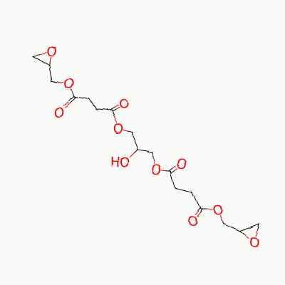 O=C(CCC(=O)OCC1CO1)OCC(O)COC(=O)CCC(=O)OCC1CO1